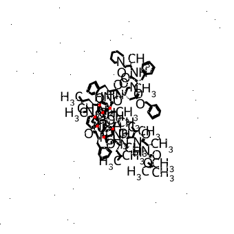 CC(C)C[C@@H](C(=O)N(C)[C@H](C(=O)N[C@@H](Cc1ccccc1)C(=O)N[C@@H](CC(=O)OCc1ccccc1)C(=O)N(C)[C@@H](Cc1ccccc1)C(=O)N[C@@H](C)C(=O)N1CCCCC1)C(C)C)N(C)C(=O)CNC(=O)[C@H](Cc1ccccc1)N(C)C(=O)[C@@H](NC(=O)[C@H](CC(C)C)N(C)C(=O)[C@@H](NC(=O)[C@H](C)NC(=O)OC(C)(C)C)C(C)C)[C@@H](C)OC(c1ccccc1)(c1ccccc1)c1ccccc1